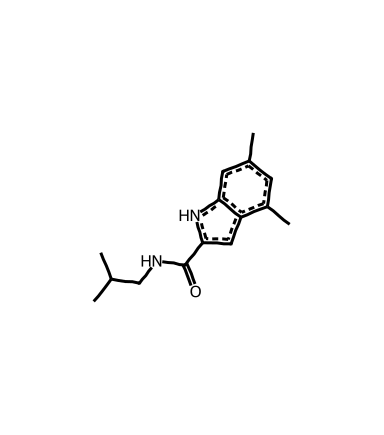 Cc1cc(C)c2cc(C(=O)NCC(C)C)[nH]c2c1